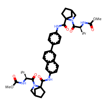 COC(=O)N[C@H](C(=O)N1CC2CCC1(C(=O)Nc1ccc(-c3ccc4cc(NC(=O)C56CCC(CN5C(=O)[C@@H](NC(=O)OC)C(C)C)C6)ccc4c3)cc1)C2)C(C)C